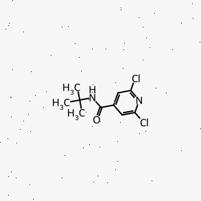 CC(C)(C)NC(=O)c1cc(Cl)nc(Cl)c1